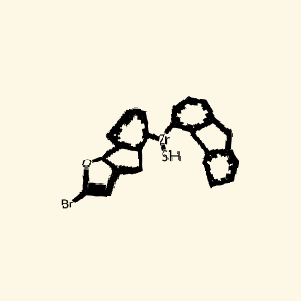 [SH][Zr]([c]1cccc2c1C=C1C=C(Br)OC12)[c]1cccc2c1-c1ccccc1C2